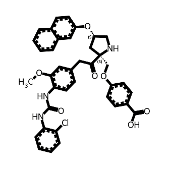 COc1cc(CC(=O)[C@@]2(COc3ccc(C(=O)O)cc3)C[C@H](Oc3ccc4ccccc4c3)CN2)ccc1NC(=O)Nc1ccccc1Cl